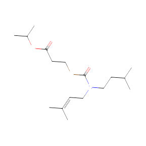 CC(C)=CCN(CCC(C)C)C(=O)SCCC(=O)OC(C)C